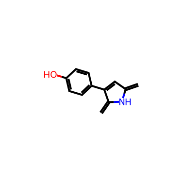 C=c1cc(-c2ccc(O)cc2)c(=C)[nH]1